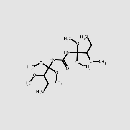 COC(C[SiH3])C(NC(=O)NC(OC)(OC)C(C[SiH3])OC)(OC)OC